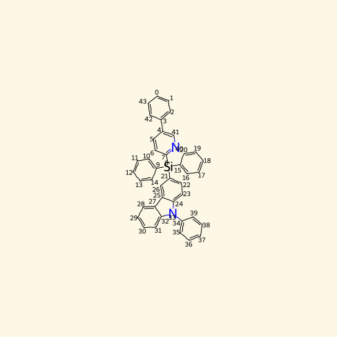 c1ccc(-c2ccc([Si](c3ccccc3)(c3ccccc3)c3ccc4c(c3)c3ccccc3n4-c3ccccc3)nc2)cc1